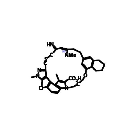 CN/C1=C\C(=N)CSCc2nn(C)c(C)c2-c2c(Cl)ccc3c2c(C)c(C(=O)O)n3CCCOc2cc(cc3c2CCCC3)CC1